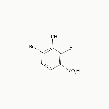 O=C(O)c1ccc(Br)c(O)c1Cl